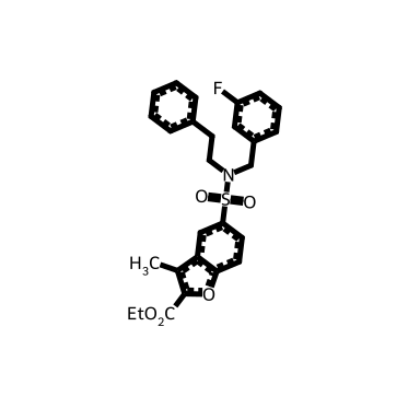 CCOC(=O)c1oc2ccc(S(=O)(=O)N(CCc3ccccc3)Cc3cccc(F)c3)cc2c1C